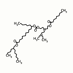 CCCCCCCCC(=O)OCCN(CCOC(=O)OC(CCCCCC)CCCCCCCCCC(=O)OCC(CCCC)CCCCCC)CCN(CC)CC